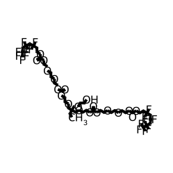 CCC(COCCO)(COCCOC(=O)OCCOCCOCCOC(=O)OCCC(F)(F)CC(F)(F)CC(F)(F)C(F)(F)F)COCCOC(=O)OCCOCCOCCOC(=O)OCCC(F)(F)CC(F)(F)CC(F)(F)C(F)(F)F